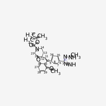 CN/N=C(\N=N)c1ccc(C2=CC3(CCN(C(=O)OC(C)(C)C)CC3)Oc3cccc(OC)c32)cc1